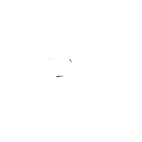 Br.N[C@@H](Cc1ccccc1)[C@H](Cc1ccccc1)C(=O)S